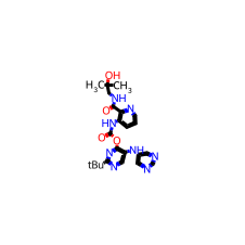 CC(C)(O)CNC(=O)c1ncccc1NC(=O)Oc1nc(C(C)(C)C)ncc1Nc1cncnc1